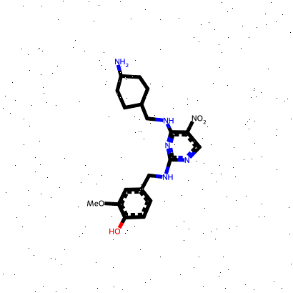 COc1cc(CNc2ncc([N+](=O)[O-])c(NCC3CCC(N)CC3)n2)ccc1O